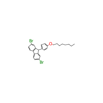 CCCCCCCCOc1ccc(C2c3cc(Br)ccc3-c3ccc(Br)cc32)cc1